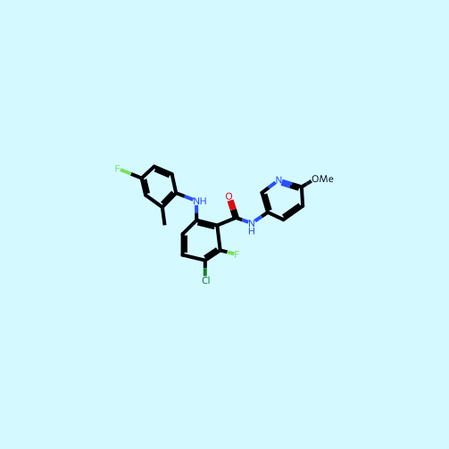 COc1ccc(NC(=O)c2c(Nc3ccc(F)cc3C)ccc(Cl)c2F)cn1